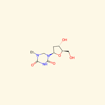 CCN1CN([C@H]2C[C@H](O)[C@@H](CO)O2)C(=O)NC1=O